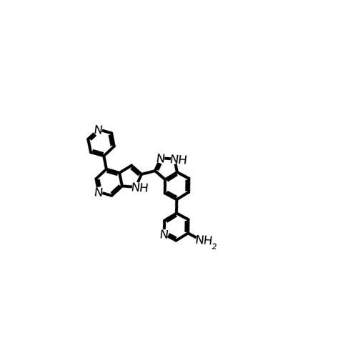 Nc1cncc(-c2ccc3[nH]nc(-c4cc5c(-c6ccncc6)cncc5[nH]4)c3c2)c1